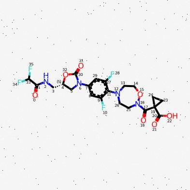 O=C(NC[C@H]1CN(c2cc(F)c(N3CCON(C(=O)C4(C(=O)O)CC4)CC3)c(F)c2)C(=O)O1)C(F)F